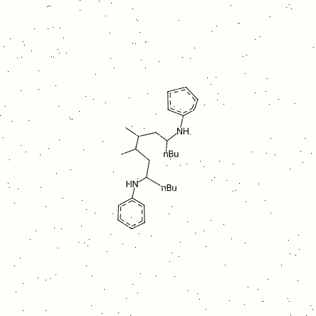 CCCCC(CC(C)C(C)CC(CCCC)Nc1ccccc1)Nc1ccccc1